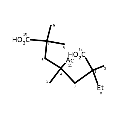 CCC(C)(CC(C)(CC(C)(C)C(=O)O)C(C)=O)C(=O)O